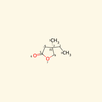 CC[C@]1(C)[CH]C(=O)OC1